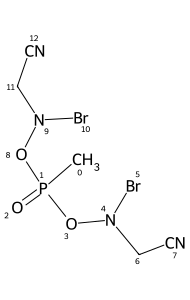 CP(=O)(ON(Br)CC#N)ON(Br)CC#N